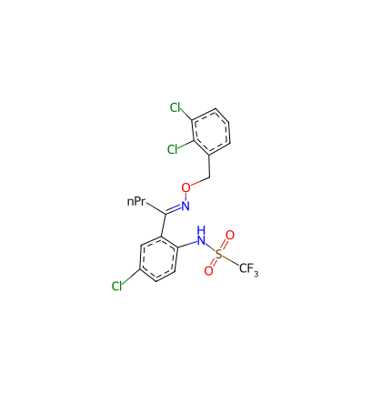 CCC/C(=N\OCc1cccc(Cl)c1Cl)c1cc(Cl)ccc1NS(=O)(=O)C(F)(F)F